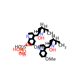 C=C[C@H]1C[N@]2CC[C@H]1C[C@H]2[C@H](O)c1ccnc2ccc(OC)cc12.C=C[C@H]1C[N@]2CC[C@H]1C[C@H]2[C@H](O)c1ccnc2ccc(OC)cc12.O=P(O)(O)O.O=S(=O)(O)O